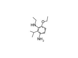 CCNc1c(OCC)ccc(N)c1C(C)C